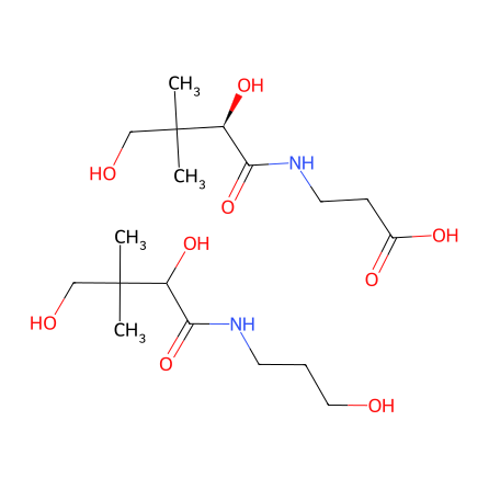 CC(C)(CO)C(O)C(=O)NCCCO.CC(C)(CO)[C@@H](O)C(=O)NCCC(=O)O